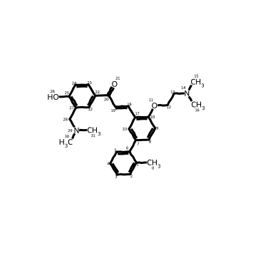 Cc1ccccc1-c1ccc(OCCN(C)C)c(C=CC(=O)c2ccc(O)c(CN(C)C)c2)c1